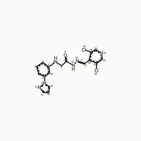 O=C(CNc1cccc(-n2cccn2)c1)N/N=C/c1c(Cl)cncc1Cl